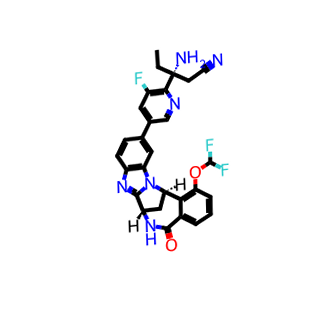 CC[C@@](N)(CC#N)c1ncc(-c2ccc3nc4n(c3c2)[C@@H]2C[C@@H]4NC(=O)c3cccc(OC(F)F)c32)cc1F